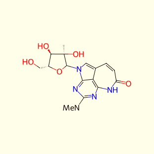 CNc1nc2c3c(cn(C4O[C@H](CO)[C@@H](O)[C@@]4(C)O)c3n1)C=CC(=O)N2